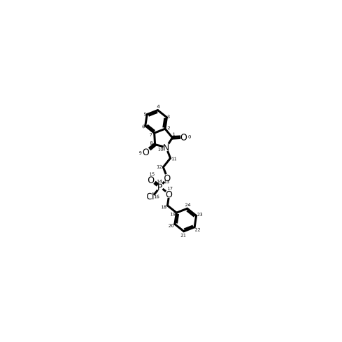 O=C1c2ccccc2C(=O)N1CCOP(=O)(Cl)OCc1ccccc1